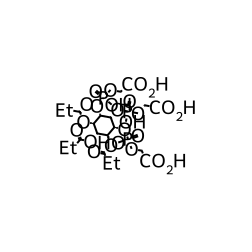 CCC(=O)O[C@@H]1[C@@H](OC(=O)CC)[C@H](OP(=O)(O)OCC(=O)O)[C@@H](OP(=O)(O)OCC(=O)O)[C@@H](OP(=O)(O)OCC(=O)O)[C@H]1OC(=O)CC